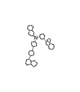 c1cc(-c2cc3ccccc3o2)cc(N(c2ccc(-c3ccc(-c4cccc5ccccc45)cc3)cc2)c2ccc3ccccc3c2)c1